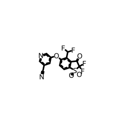 N#Cc1cncc(Oc2ccc3c(c2C(F)F)C(=O)C(F)(F)S3(=O)=O)c1